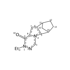 CCn1ncn2c3c(cc2c1=O)C1CCC3C1